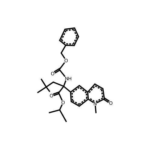 CC(C)OC(=O)C(CC(C)(C)C)(NC(=O)OCc1ccccc1)c1ccc2c(ccc(=O)n2C)c1